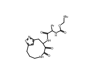 CC(C)C(NC(=O)OCC(C)(C)C)C(=O)NC1Cc2cc(sn2)CCCNC(=O)C1=O